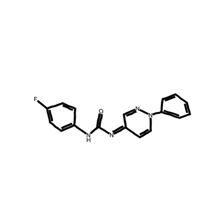 O=C(N=c1ccn(-c2ccccc2)nc1)Nc1ccc(F)cc1